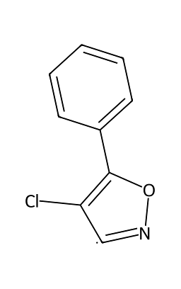 Clc1[c]noc1-c1ccccc1